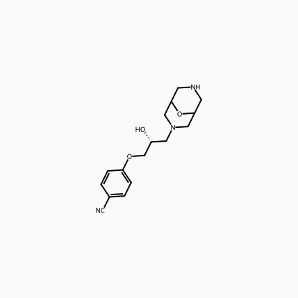 N#Cc1ccc(OC[C@H](O)CN2CC3CNCC(C2)O3)cc1